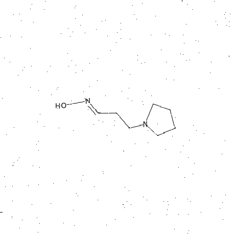 ON=CCCN1CCCC1